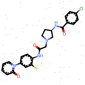 O=C(CN1CC[C@@H](NC(=O)c2ccc(Cl)cc2)C1)Nc1ccc(-n2ccccc2=O)cc1F